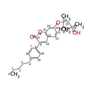 CCCCCc1ccc(-c2cc3ccc(OC(C)(C)CC(C)(C)O)cc3oc2=O)cc1